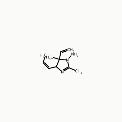 C=CC1(C)C(/C=C\C)N=C(C)N1N